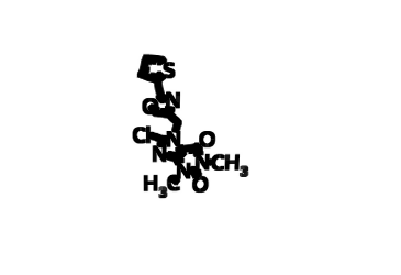 Cn1c(=O)c2c(nc(Cl)n2Cc2coc(-c3cccs3)n2)n(C)c1=O